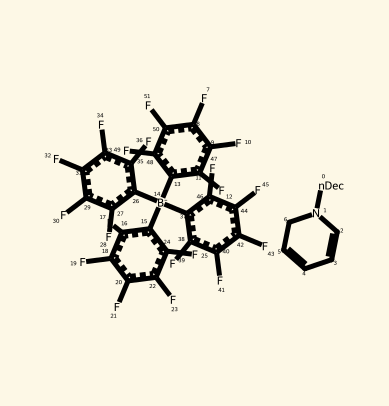 CCCCCCCCCCN1C=CC=CC1.Fc1c(F)c(F)c([B-](c2c(F)c(F)c(F)c(F)c2F)(c2c(F)c(F)c(F)c(F)c2F)c2c(F)c(F)c(F)c(F)c2F)c(F)c1F